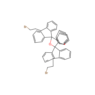 BrCCCc1ccccc1C(OC(c1ccccc1)(c1ccccc1)c1ccccc1CCCBr)(c1ccccc1)c1ccccc1